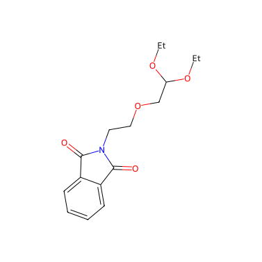 CCOC(COCCN1C(=O)c2ccccc2C1=O)OCC